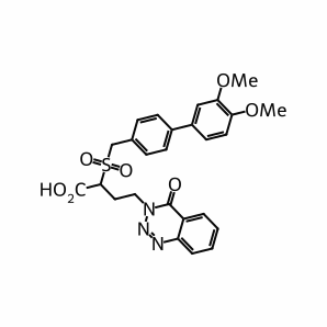 COc1ccc(-c2ccc(CS(=O)(=O)C(CCn3nnc4ccccc4c3=O)C(=O)O)cc2)cc1OC